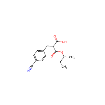 CCC(C)OC(=O)C(Cc1ccc(C#N)cc1)C(=O)O